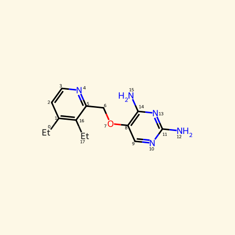 CCc1ccnc(COc2cnc(N)nc2N)c1CC